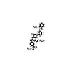 COCCn1c(Cc2ccc(-c3cccc(OCc4ccccc4SC)n3)cc2F)nc2ccc(C(=O)OC)cc21